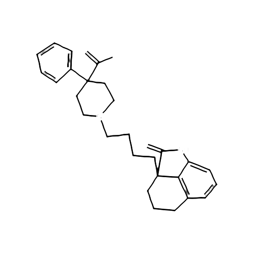 CC(=O)C1(c2ccccc2)CCN(CCCCC23CCCc4cccc(c42)NC3=O)CC1